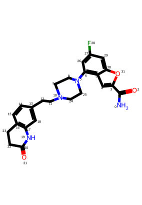 NC(=O)c1cc2c(N3CCN(CCc4ccc5c(c4)NC(=O)CC5)CC3)cc(F)cc2o1